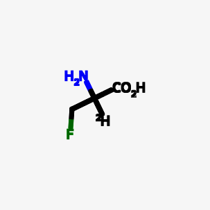 [2H]C(N)(CF)C(=O)O